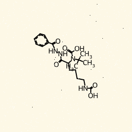 CC(C)(C)N(C(=O)O)C(CCCCNC(=O)O)C(=O)NNC(=O)c1ccccc1